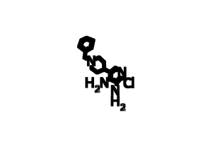 Nc1c(C2CCN(Cc3ccccc3)CC2)cnc(Cl)c1N